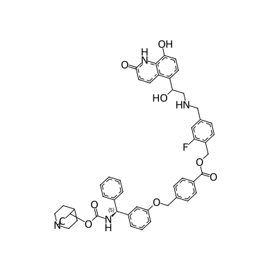 O=C(N[C@@H](c1ccccc1)c1cccc(OCc2ccc(C(=O)OCc3ccc(CNCC(O)c4ccc(O)c5[nH]c(=O)ccc45)cc3F)cc2)c1)OC1CN2CCC1CC2